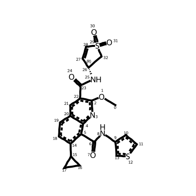 COc1nc2c(C(=O)Nc3ccsc3)c(C3CC3)ccc2cc1C(=O)N[C@@H]1C=CS(=O)(=O)C1